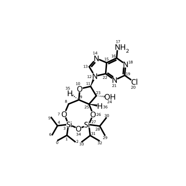 CC(C)[Si]1(C(C)C)OC[C@H]2O[C@@H](n3cnc4c(N)nc(Cl)nc43)[C@H](O)[C@@H]2O[Si](C(C)C)(C(C)C)O1